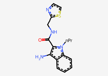 CCCn1c(C(=O)NCc2nccs2)c(N)c2ccccc21